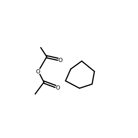 C1CCCCC1.CC(=O)OC(C)=O